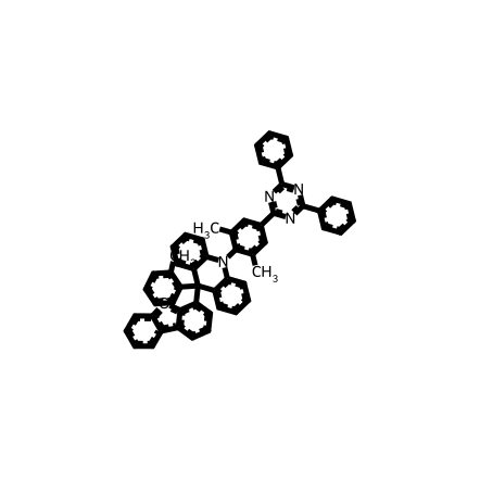 Cc1ccccc1C1(c2cccc3c2oc2ccccc23)c2ccccc2N(c2c(C)cc(-c3nc(-c4ccccc4)nc(-c4ccccc4)n3)cc2C)c2ccccc21